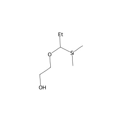 CCC(OCCO)[Si](C)C